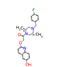 C[C@@H]1CN(C(=O)COc2ccc3cc(O)ccc3n2)[C@@H](C)CN1Cc1ccc(F)cc1